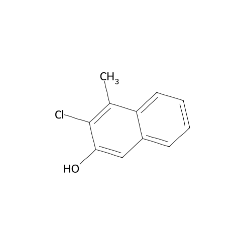 Cc1c(Cl)c(O)cc2ccccc12